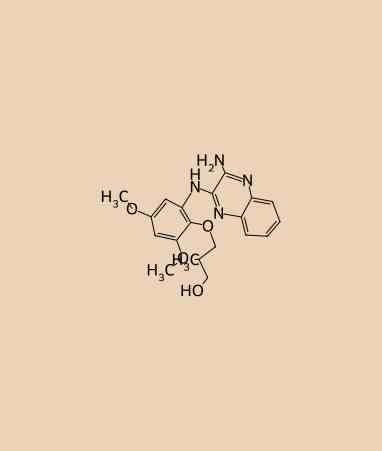 COc1cc(Nc2nc3ccccc3nc2N)c(OCC(C)CO)c(OC)c1